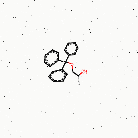 C[C@@H](O)COC(c1ccccc1)(c1ccccc1)c1ccccc1